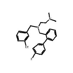 CCc1cccc(CN(CCN(C)C)Cc2ccccc2-c2ccc(F)cc2)c1